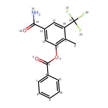 Cc1c(OC(=O)c2ccccc2)cc(C(N)=O)cc1C(F)(F)F